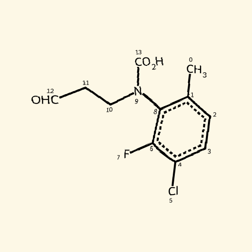 Cc1ccc(Cl)c(F)c1N(CCC=O)C(=O)O